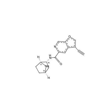 C#Cc1coc2cnc(C(=O)N[C@@H]3C[C@H]4CC[C@@H]3N4)cc12